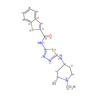 CCC1CC(Nc2nnc(NC(=O)c3cc4ccccc4s3)s2)CCN1C(=O)O